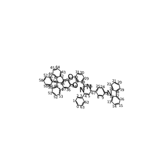 c1ccc(-c2cc(-c3ccc(-n4c5ccccc5c5ccccc54)cc3)nc(-c3cccc4c3Oc3ccc5c(c3O4)-c3ccccc3C5(c3ccccc3)c3ccccc3)n2)cc1